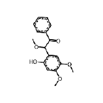 COc1cc(O)c(C(OC)C(=O)c2ccccc2)cc1OC